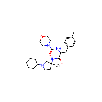 Cc1ccc(CC(NC(=O)N2CCOCC2)C(=O)NC2(C#N)CCN(C3CCCCC3)C2)cc1